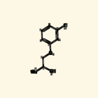 CC(C)(C)C(O)COc1cccc(Cl)c1